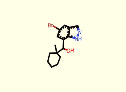 CC1(C(O)c2cc(Br)cc3cn[nH]c23)CCCCC1